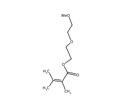 COCCOCCOC(=O)C(C)=C(C)C